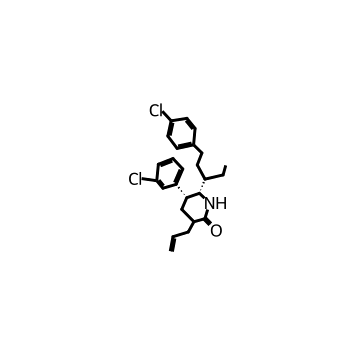 C=CCC1C[C@H](c2cccc(Cl)c2)[C@H](C(CC)CCc2ccc(Cl)cc2)NC1=O